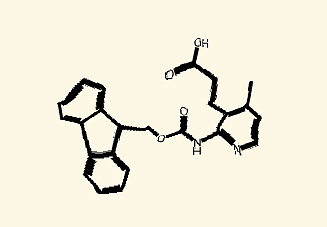 Cc1ccnc(NC(=O)OCC2c3ccccc3-c3ccccc32)c1CCC(=O)O